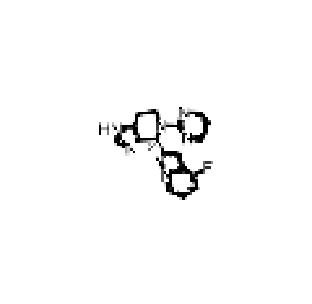 Fc1cccn2nc([C@H]3c4nc[nH]c4CCN3c3ncccn3)cc12